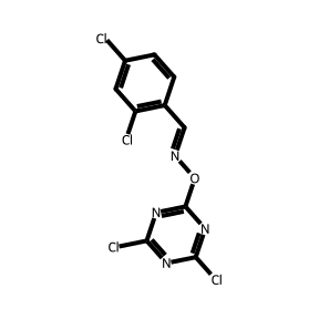 Clc1ccc(C=NOc2nc(Cl)nc(Cl)n2)c(Cl)c1